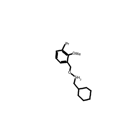 COc1c(CO[SiH2]CC2CCCCC2)cccc1C(C)C